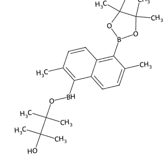 Cc1ccc2c(B3OC(C)(C)C(C)(C)O3)c(C)ccc2c1BOC(C)(C)C(C)(C)O